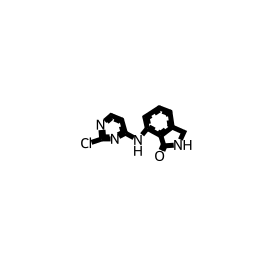 O=C1NCc2cccc(Nc3ccnc(Cl)n3)c21